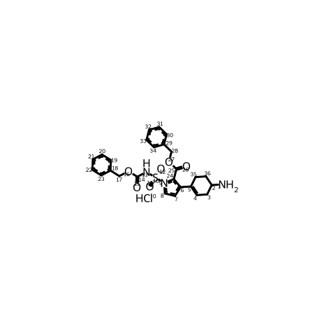 Cl.NC1CC=C(c2ccn(S(=O)(=O)NC(=O)OCc3ccccc3)c2C(=O)OCc2ccccc2)CC1